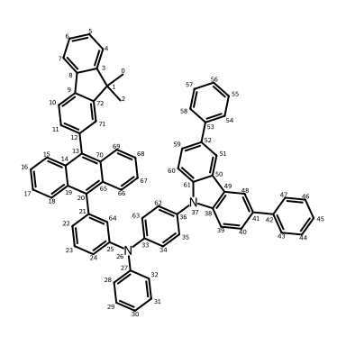 CC1(C)c2ccccc2-c2ccc(-c3c4ccccc4c(-c4cccc(N(c5ccccc5)c5ccc(-n6c7ccc(-c8ccccc8)cc7c7cc(-c8ccccc8)ccc76)cc5)c4)c4ccccc34)cc21